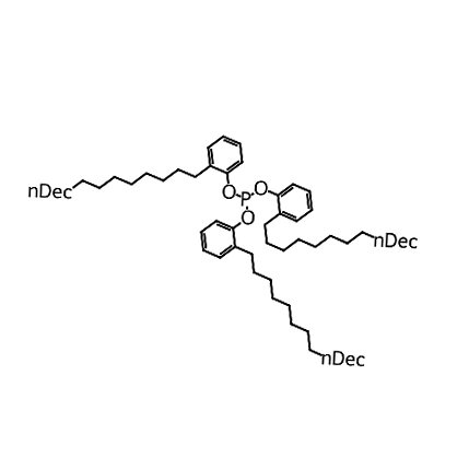 CCCCCCCCCCCCCCCCCCc1ccccc1OP(Oc1ccccc1CCCCCCCCCCCCCCCCCC)Oc1ccccc1CCCCCCCCCCCCCCCCCC